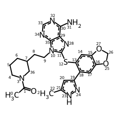 CC(=O)N1CCCC(CCn2c(Sc3cc4c(cc3-c3cc(C)[nH]n3)OCO4)nc3c(N)ncnc32)C1